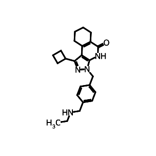 CCNCc1ccc(Cn2nc(C3CCC3)c3c4c(c(=O)[nH]c32)CCCC4)cc1